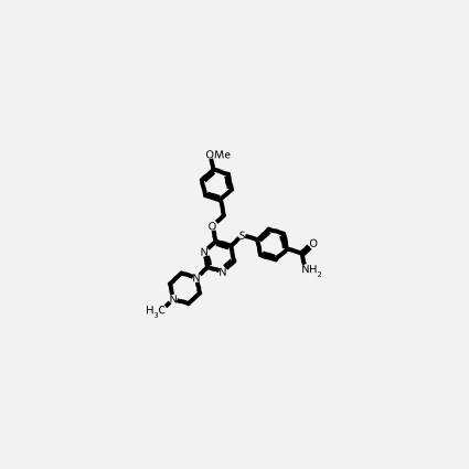 COc1ccc(COc2nc(N3CCN(C)CC3)ncc2Sc2ccc(C(N)=O)cc2)cc1